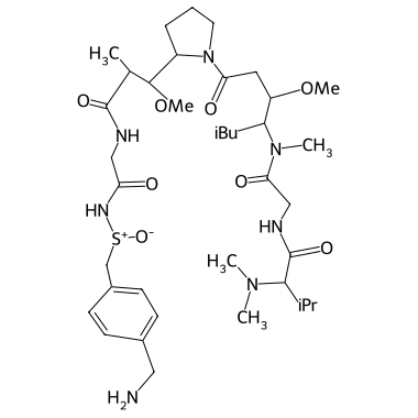 CCC(C)C(C(CC(=O)N1CCCC1C(OC)C(C)C(=O)NCC(=O)N[S+]([O-])Cc1ccc(CN)cc1)OC)N(C)C(=O)CNC(=O)C(C(C)C)N(C)C